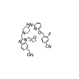 N#Cc1ccc(COc2cccc(NC3CCN(Cc4nc5ccc(CO)cc5n4C[C@@H]4CCO4)CC3)n2)c(F)c1